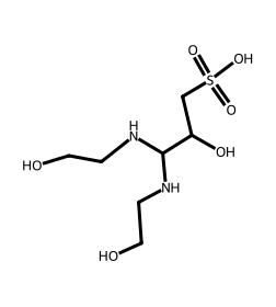 O=S(=O)(O)CC(O)C(NCCO)NCCO